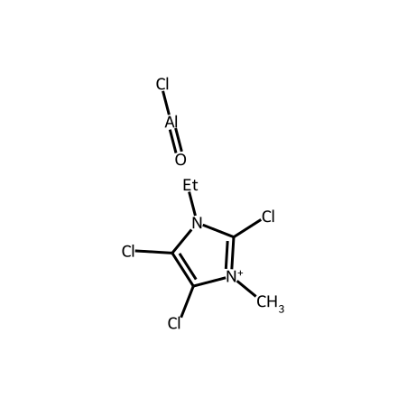 CCn1c(Cl)c(Cl)[n+](C)c1Cl.[O]=[Al][Cl]